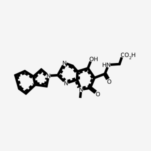 Cn1c(=O)c(C(=O)NCC(=O)O)c(O)c2cnc(-n3cc4ccccc4c3)nc21